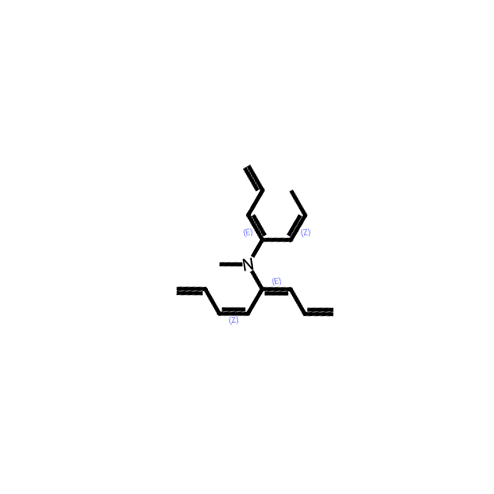 C=C/C=C\C(=C/C=C)N(C)C(/C=C\C)=C/C=C